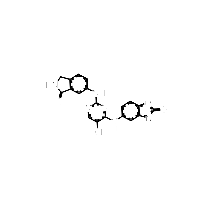 Cc1cnc(Nc2ccc3c(c2)C(=O)NC3)nc1Nc1ccc2oc(=O)[nH]c2c1